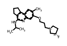 Cc1cc2c3c(c(NC(C)C)nc2cc1OCCCN1CC[C@H](F)C1)CCC3